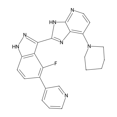 Fc1c(-c2cccnc2)ccc2[nH]nc(-c3nc4c(N5CCCCC5)ccnc4[nH]3)c12